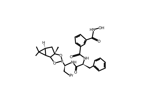 CC(C)C[C@H](NC(=O)[C@H](Cc1ccccc1)NC(=O)c1cccc(C(=O)NO)c1)B1OC2C3[C@H](C[C@]2(C)O1)C3(C)C